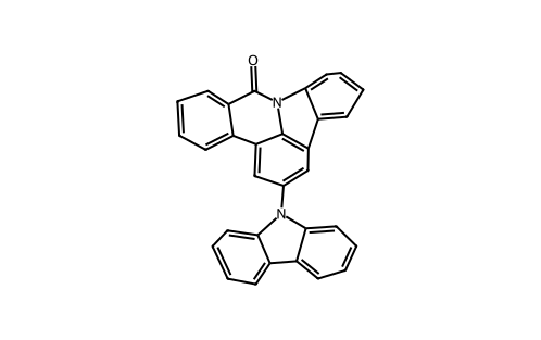 O=c1c2ccccc2c2cc(-n3c4ccccc4c4ccccc43)cc3c4ccccc4n1c23